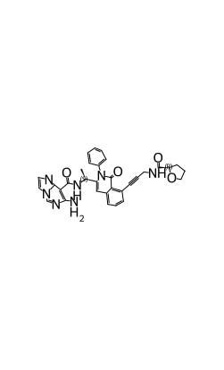 C[C@H](NC(=O)c1c(N)ncn2ccnc12)c1cc2cccc(C#CCNC(=O)[C@H]3CCCO3)c2c(=O)n1-c1ccccc1